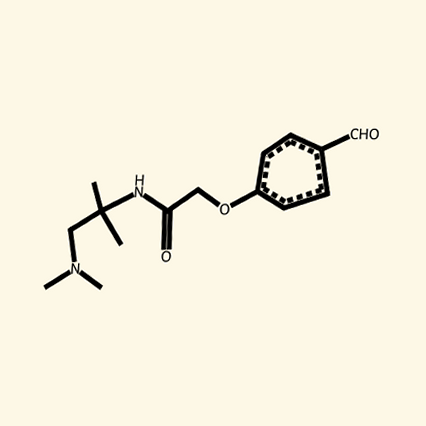 CN(C)CC(C)(C)NC(=O)COc1ccc(C=O)cc1